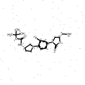 CC(C)(C)OC(=O)N[C@H]1CCN(c2ccc(N3C[C@H](CO)OC3=O)cc2F)C1